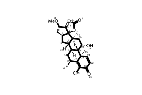 CCC(=O)O[C@]1(C(=O)COC)[C@H](C)C[C@H]2[C@@H]3C[C@H](F)C4=C(Cl)C(=O)C=C[C@]4(C)[C@@]3(F)[C@@H](O)C[C@@]21C